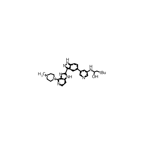 CN1CCN(c2nccc3[nH]c(-c4n[nH]c5ccc(-c6cncc(NC(O)CC(C)(C)C)c6)cc45)nc23)CC1